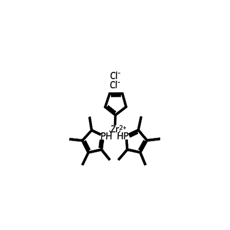 CC1=C(C)C(C)[PH]([Zr+2]([C]2=CC=CC2)[PH]2=C(C)C(C)=C(C)C2C)=C1C.[Cl-].[Cl-]